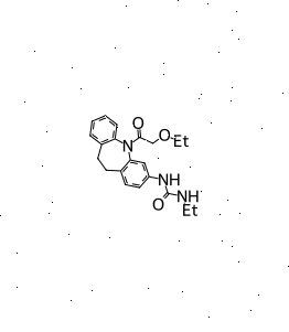 CCNC(=O)Nc1ccc2c(c1)N(C(=O)COCC)c1ccccc1CC2